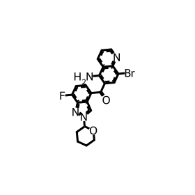 Nc1c(C(=O)c2ccc(F)c3nn(C4CCCCO4)cc23)cc(Br)c2ncccc12